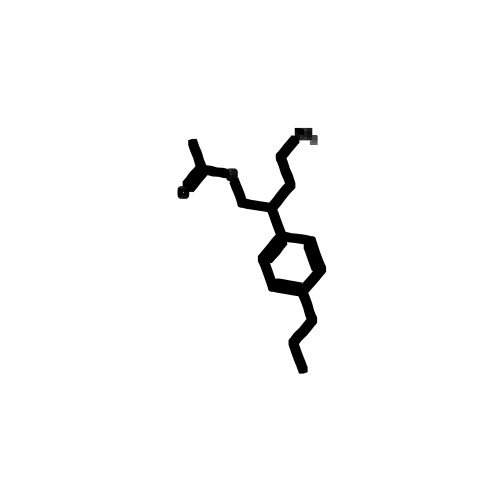 BCCC(COC(C)=O)c1ccc(CCC)cc1